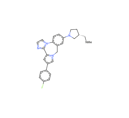 CNC[C@H]1CCN(c2ccc3c(c2)Cn2cc(-c4ccc(F)cc4)cc2-c2nccn2-3)C1